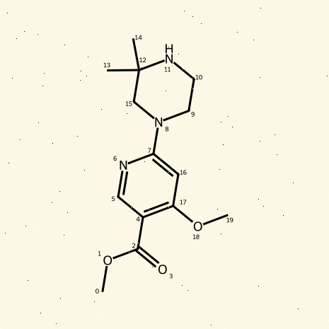 COC(=O)c1cnc(N2CCNC(C)(C)C2)cc1OC